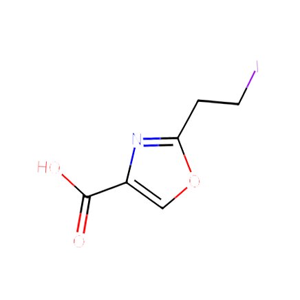 O=C(O)c1coc(CCI)n1